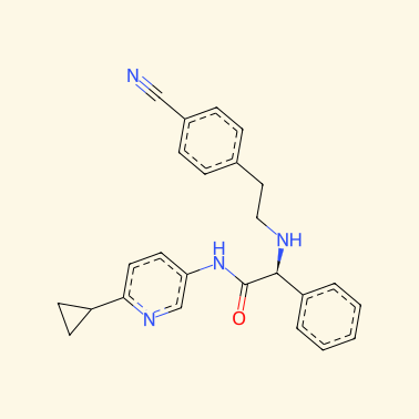 N#Cc1ccc(CCN[C@H](C(=O)Nc2ccc(C3CC3)nc2)c2ccccc2)cc1